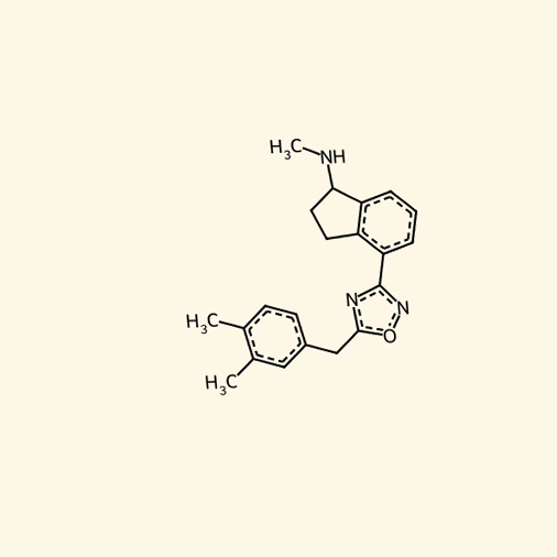 CNC1CCc2c(-c3noc(Cc4ccc(C)c(C)c4)n3)cccc21